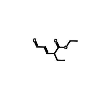 CCOC(=O)C(/C=C/C=O)CC